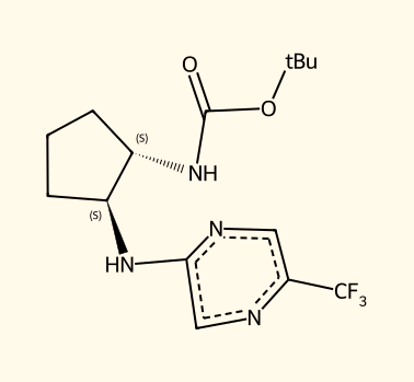 CC(C)(C)OC(=O)N[C@H]1CCC[C@@H]1Nc1cnc(C(F)(F)F)cn1